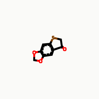 O=C1CSc2cc3c(cc21)OCO3